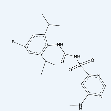 CNc1cc(S(=O)(=O)NC(=O)Nc2c(C(C)C)cc(F)cc2C(C)C)ncn1